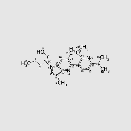 CCC[C@H](CO)n1cc(C)c2nc(-c3ccc(C(C)C)nc3OC)c(C)cc21